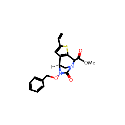 C=Cc1cc2c(s1)C(C(=O)OC)N1C[C@H]2N(OCc2ccccc2)C1=O